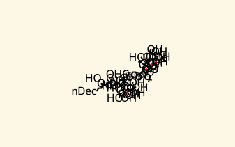 CCCCCCCCCCCCCC(=O)NCC[C@H](NC(=O)C1OC(O[C@H]2CC[C@@]3(C)C(CC[C@]4(C)C3CC=C3C5CC(C)(C)CC[C@]5(C(=O)OC5OC(C)C(O)C(O)C5OC5OC(C)C(O)C(OC)C5OC5OC(CO)C(O)C(O)C5O)[C@H](O)C[C@]34C)[C@]2(C)C=O)C(OC2OC(CO)C(O)C(O)C2O)C(OC2OCC(O)C(O)C2O)C1O)C(=O)O